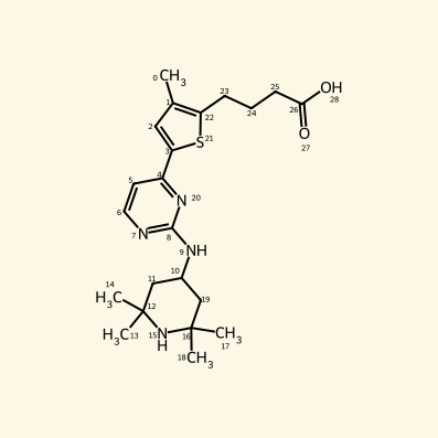 Cc1cc(-c2ccnc(NC3CC(C)(C)NC(C)(C)C3)n2)sc1CCCC(=O)O